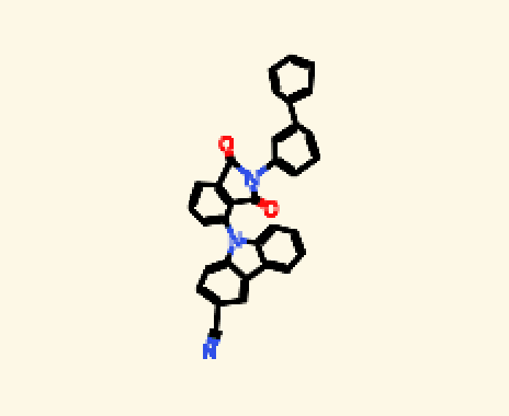 N#Cc1ccc2c(c1)c1ccccc1n2-c1cccc2c1C(=O)N(c1cccc(-c3ccccc3)c1)C2=O